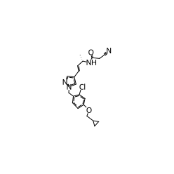 C[C@@H](/C=C/c1cnn(Cc2ccc(OCC3CC3)cc2Cl)c1)NC(=O)CC#N